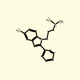 Cc1ccc2c(c1)cc(-c1ccccc1)n2CCCN(C)C